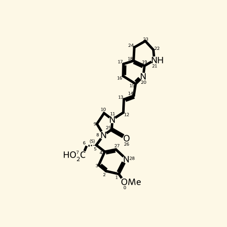 COc1ccc([C@H](CC(=O)O)N2CCN(CC=Cc3ccc4c(n3)NCCC4)C2=O)cn1